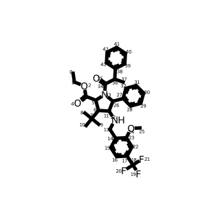 CCOC(=O)C1C(C(C)(C)C)C(NCc2ccc(C(F)(F)F)cc2OC)C(c2ccccc2)N1C(=O)C(C)c1ccccc1